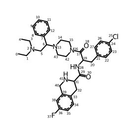 CCN(CC)CC(c1ccccc1)N1CCN(C(=O)C(Cc2ccc(Cl)cc2)NC(=O)C2Cc3ccc(F)cc3CN2)CC1